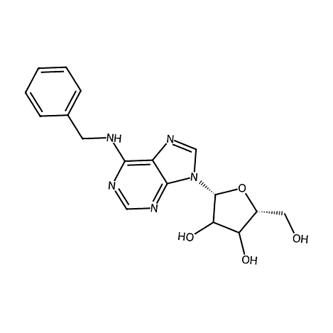 OC[C@H]1O[C@@H](n2cnc3c(NCc4ccccc4)ncnc32)C(O)C1O